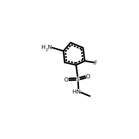 CNS(=O)(=O)c1cc(N)ccc1F